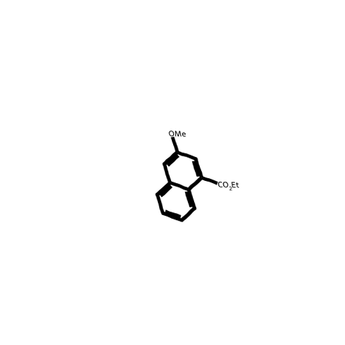 CCOC(=O)c1cc(OC)cc2ccccc12